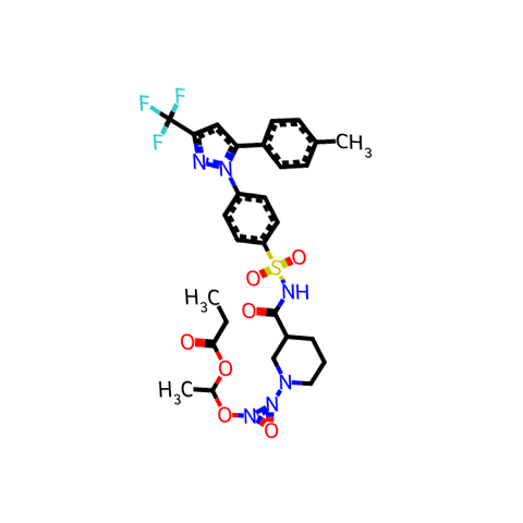 CCC(=O)OC(C)On1on1N1CCCC(C(=O)NS(=O)(=O)c2ccc(-n3nc(C(F)(F)F)cc3-c3ccc(C)cc3)cc2)C1